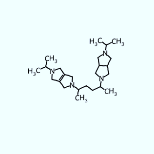 CC(C)N1CC2=C(C1)CN(C(C)CCC(C)N1CC3CN(C(C)C)CC3C1)C2